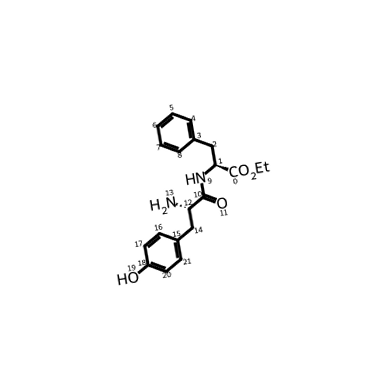 CCOC(=O)[C@H](Cc1ccccc1)NC(=O)[C@@H](N)Cc1ccc(O)cc1